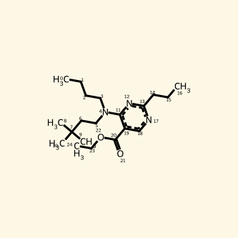 CCCCN(CCC(C)(C)C)c1nc(CCC)ncc1C(=O)OCC